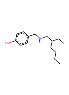 CCCCC(CC)CNCc1ccc(O)cc1